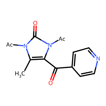 CC(=O)n1c(C)c(C(=O)c2ccncc2)n(C(C)=O)c1=O